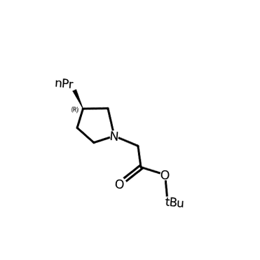 CCC[C@@H]1CCN(CC(=O)OC(C)(C)C)C1